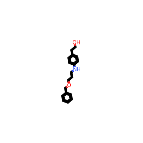 OCCc1ccc(NCCCOCc2ccccc2)cc1